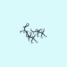 C[C@@H](C=O)[C@H](CCO[Si](C)(C)C(C)(C)C)O[Si](C)(C)C(C)(C)C